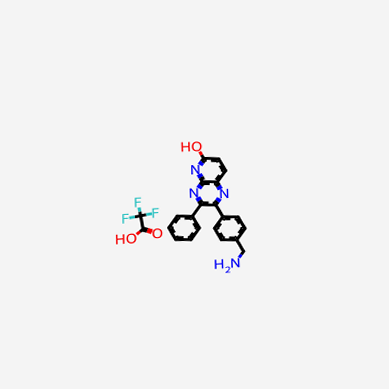 NCc1ccc(-c2nc3ccc(O)nc3nc2-c2ccccc2)cc1.O=C(O)C(F)(F)F